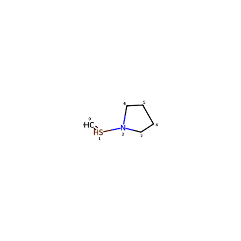 [CH]=[SH]N1CCCC1